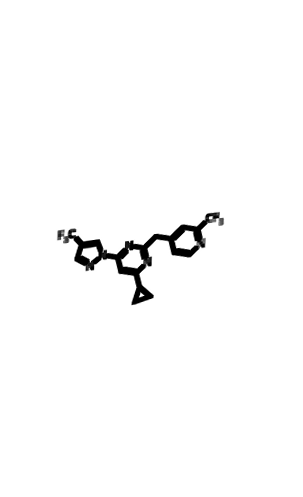 FC(F)(F)c1cnn(-c2cc(C3CC3)nc(Cc3ccnc(C(F)(F)F)c3)n2)c1